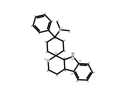 CN(C)C1(c2ccccc2)CCC2(CC1)OCCC1c3ccccc3NC12